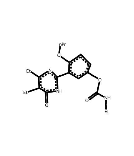 CCCOc1ccc(OC(=O)NCC)cc1-c1nc(CC)c(CC)c(=O)[nH]1